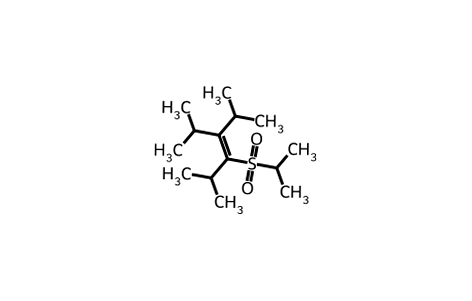 CC(C)C(=C(C(C)C)S(=O)(=O)C(C)C)C(C)C